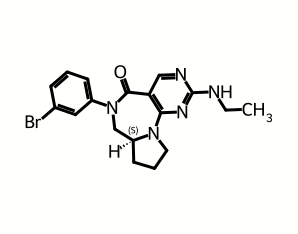 CCNc1ncc2c(n1)N1CCC[C@H]1CN(c1cccc(Br)c1)C2=O